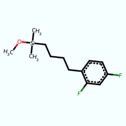 CO[Si](C)(C)CCCCc1ccc(F)cc1F